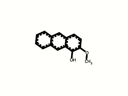 COc1ccc2cc3ccccc3cc2c1O